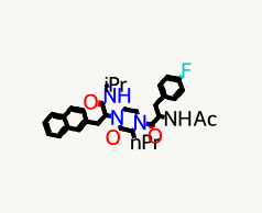 CCCC1C(=O)N(C(Cc2ccc3ccccc3c2)C(=O)NC(C)C)CCN1C(=O)C(Cc1ccc(F)cc1)NC(C)=O